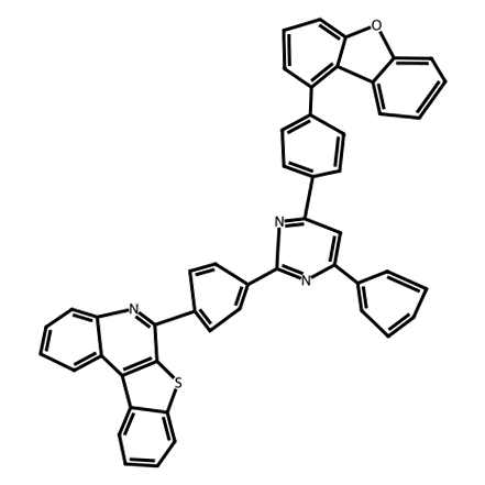 c1ccc(-c2cc(-c3ccc(-c4cccc5oc6ccccc6c45)cc3)nc(-c3ccc(-c4nc5ccccc5c5c4sc4ccccc45)cc3)n2)cc1